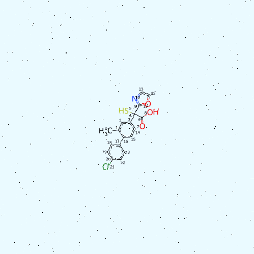 Cc1cc(C(S)(C(=O)O)c2ncco2)ccc1-c1ccc(Cl)cc1